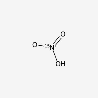 O=[15N+]([O-])O